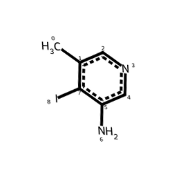 Cc1cncc(N)c1I